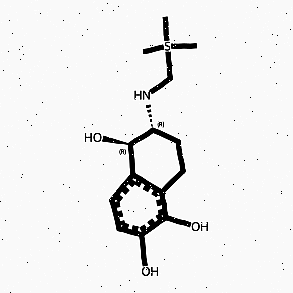 CS(C)(C)CN[C@@H]1CCc2c(ccc(O)c2O)[C@H]1O